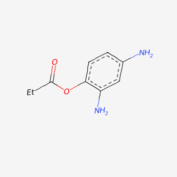 CCC(=O)Oc1ccc(N)cc1N